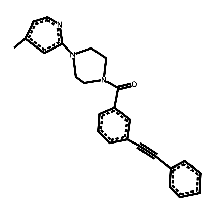 Cc1ccnc(N2CCN(C(=O)c3cccc(C#Cc4ccccc4)c3)CC2)c1